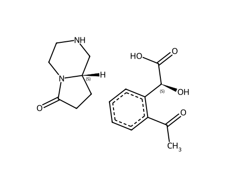 CC(=O)c1ccccc1[C@H](O)C(=O)O.O=C1CC[C@H]2CNCCN12